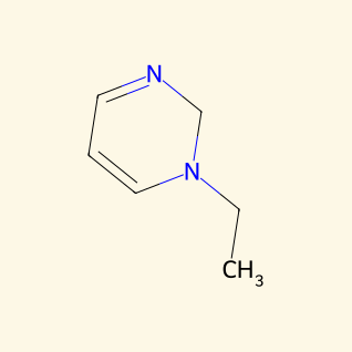 CCN1C=CC=NC1